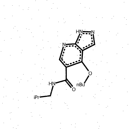 CCCCOc1c(C(=O)NCC(C)C)cnc2[nH]ncc12